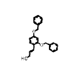 OCC=Cc1ccc(OCc2ccccc2)cc1OCc1ccccc1